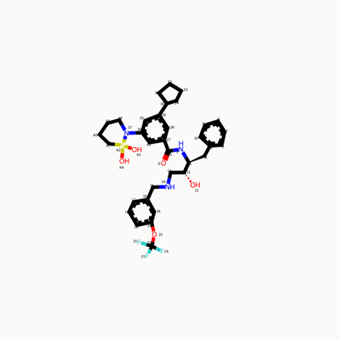 O=C(N[C@@H](Cc1ccccc1)[C@H](O)CNCc1cccc(OC(F)(F)F)c1)c1cc(C2CCCC2)cc(N2CCCCS2(O)O)c1